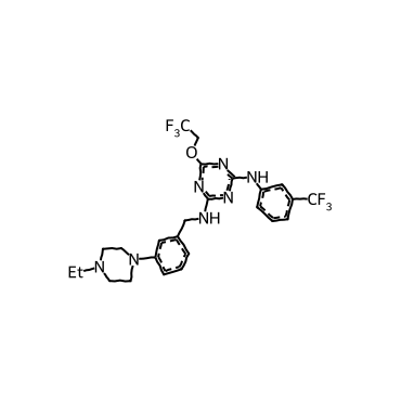 CCN1CCN(c2cccc(CNc3nc(Nc4cccc(C(F)(F)F)c4)nc(OCC(F)(F)F)n3)c2)CC1